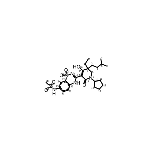 CCC1(CCC(C)C)CN(C2CCCC2)C(=O)C(C2=NS(=O)(=O)c3cc(NS(C)(=O)=O)ccc3N2)=C1O